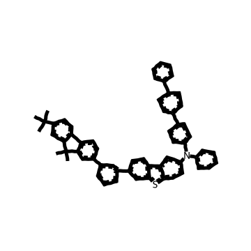 CC(C)(C)c1ccc2c(c1)C(C)(C)c1cc(-c3cccc(-c4ccc5c(c4)sc4ccc(N(c6ccccc6)c6ccc(-c7ccc(-c8ccccc8)cc7)cc6)cc45)c3)ccc1-2